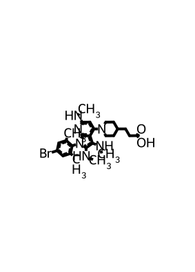 CNc1cc(N2CCC(CCC(=O)O)CC2)c2c(NC)c(NC)n(-c3c(C)cc(Br)cc3C)c2n1